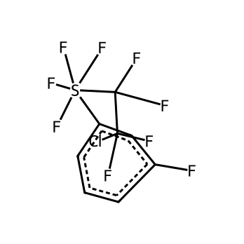 Fc1cccc(S(F)(F)(F)(F)C(F)(F)C(F)(F)Cl)c1